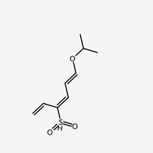 C=C/C(=C\C=C\OC(C)C)[SH](=O)=O